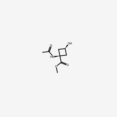 COC(=O)[C@]1(NC(C)=O)C[C@@H](O)C1